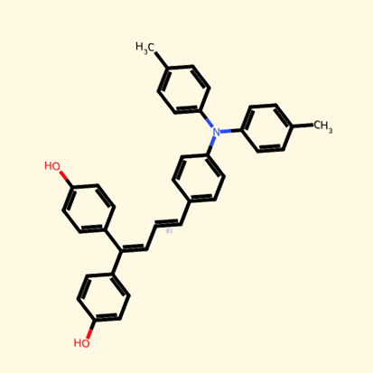 Cc1ccc(N(c2ccc(C)cc2)c2ccc(/C=C/C=C(c3ccc(O)cc3)c3ccc(O)cc3)cc2)cc1